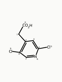 O=C(O)Cc1cc(Cl)ncc1Cl